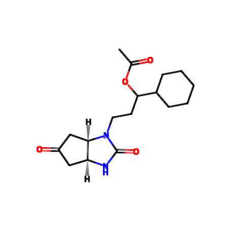 CC(=O)OC(CCN1C(=O)N[C@H]2CC(=O)C[C@H]21)C1CCCCC1